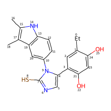 CCc1cc(-c2cnc(S)n2-c2ccc3[nH]c(C)c(C)c3c2)c(O)cc1O